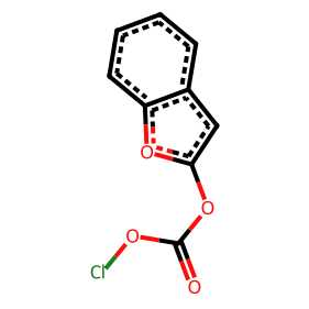 O=C(OCl)Oc1cc2ccccc2o1